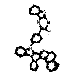 Clc1nc2sc3ccccc3c2nc1-c1ccc(-n2c3ccccc3c3c4ccccc4c4c(sc5ccc6ccccc6c54)c32)cc1